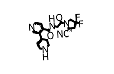 N#C[C@@H]1CC(F)(F)CN1C(=O)CNC(=O)c1ccncc1C1=CCNCC1